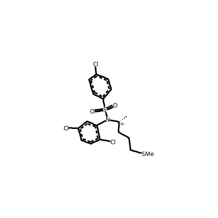 CSCCC[C@@H](C)N(c1cc(Cl)ccc1Cl)S(=O)(=O)c1ccc(Cl)cc1